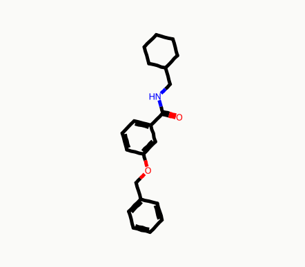 O=C(NCC1CCCCC1)c1cccc(OCc2ccccc2)c1